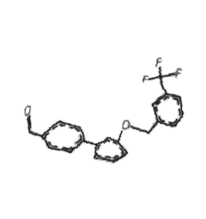 O=Cc1ccc(-c2cccc(OCc3cccc(C(F)(F)F)c3)c2)cc1